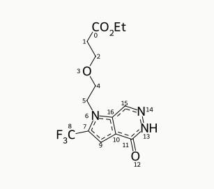 CCOC(=O)CCOCCn1c(C(F)(F)F)cc2c(=O)[nH]ncc21